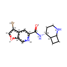 O=C(N[C@@H]1CCNC2CCC21)c1cc2c(Br)coc2cn1